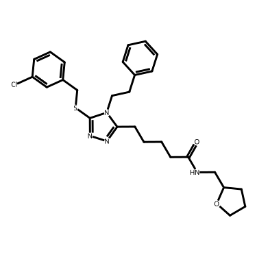 O=C(CCCCc1nnc(SCc2cccc(Cl)c2)n1CCc1ccccc1)NCC1CCCO1